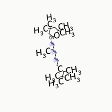 CC(=C=C/C=C/C=C(C)/C=C/[C@@H]1CC(C)(C)CC(C)(C)O1)C(C)(C)C